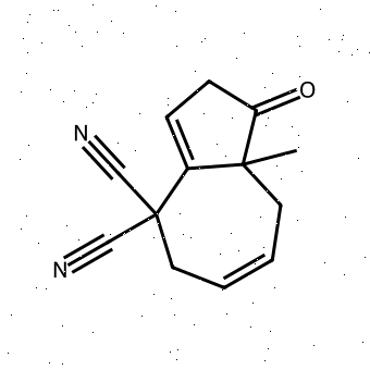 CC12CC=CCC(C#N)(C#N)C1=CCC2=O